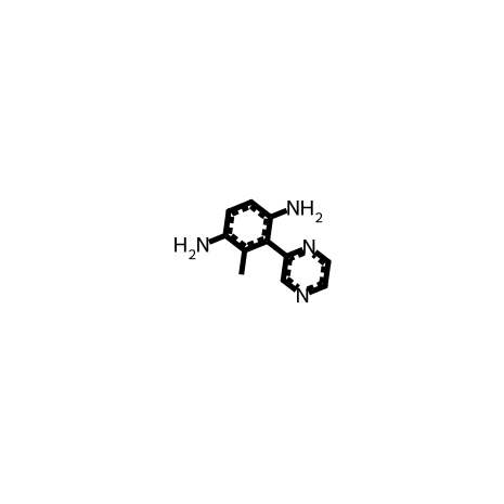 Cc1c(N)ccc(N)c1-c1cnccn1